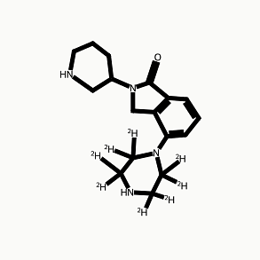 [2H]C1([2H])NC([2H])([2H])C([2H])([2H])N(c2cccc3c2CN(C2CCCNC2)C3=O)C1([2H])[2H]